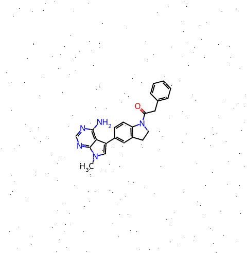 Cn1cc(-c2ccc3c(c2)CCN3C(=O)Cc2ccccc2)c2c(N)ncnc21